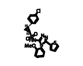 COc1ccccc1-n1c(NS(=O)(=O)[C@H]2C[C@@H]2c2ccc(Cl)cc2)nnc1-c1cccs1